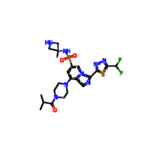 CC(C)C(=O)N1CCN(c2cc(S(=O)(=O)NC3(C)CNC3)cn3c(-c4nnc(C(F)F)s4)ncc23)CC1